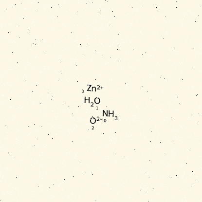 N.O.[O-2].[Zn+2]